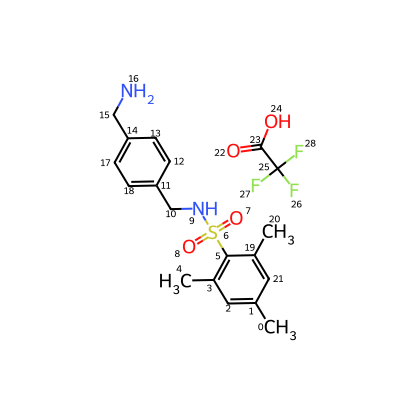 Cc1cc(C)c(S(=O)(=O)NCc2ccc(CN)cc2)c(C)c1.O=C(O)C(F)(F)F